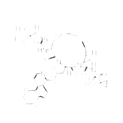 CC[C@@H]1OCCC/C=C\[C@H]2C[C@@]2(C(=O)NS(=O)(=O)C2(C)CC2)NC(=O)[C@@H]2C[C@@H](Oc3nccc4c5c(ccc34)OCCO5)CN2C(=O)[C@H]1NC(=O)OC(C)(C)C(F)(F)F